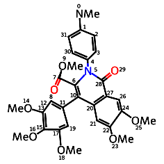 CNc1ccc(-n2c(C(=O)OC)c(-c3cc(OC)c(OC)c(OC)c3)c3cc(OC)c(OC)cc3c2=O)cc1